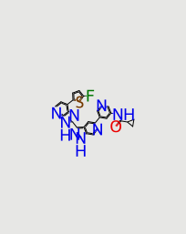 O=C(Nc1cncc(-c2cc3c(-c4nc5c(-c6ccc(F)s6)ccnc5[nH]4)n[nH]c3cn2)c1)C1CC1